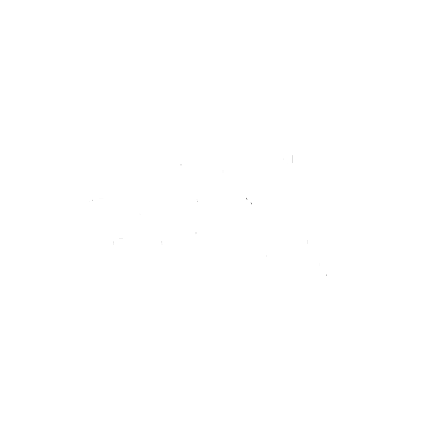 CC1CC(O)CCN1CC1CCC(F)(F)CC1